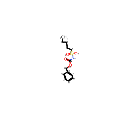 CCCCCS(=O)(=O)[N]C(=O)OCc1ccccc1